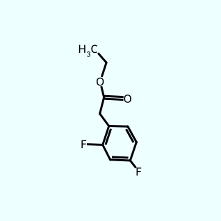 CCOC(=O)Cc1ccc(F)cc1F